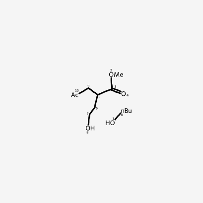 CCCCO.COC(=O)C(CCO)CC(C)=O